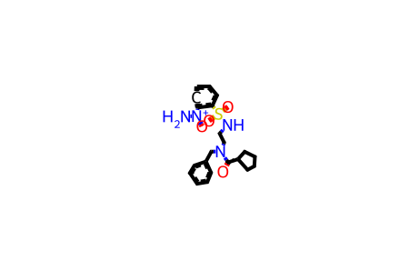 N[N+](=O)c1ccccc1S(=O)(=O)NCCN(Cc1ccccc1)C(=O)[C]1CCCC1